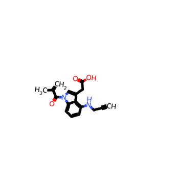 C#CCNc1cccc2c1c(CC(=O)O)cn2C(=O)C(=C)C